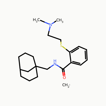 CN(C)CCSc1ccccc1C(=O)NCC12CCCC(CCC1)C2.[CH2]